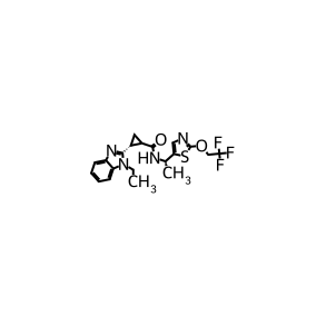 CCn1c([C@@H]2CC2C(=O)N[C@H](C)c2cnc(OCC(F)(F)F)s2)nc2ccccc21